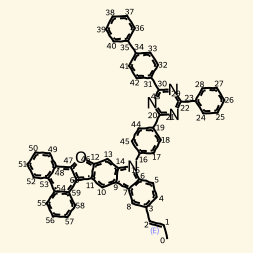 C/C=C/c1ccc2c(c1)c1cc3c(cc1n2-c1ccc(-c2nc(-c4ccccc4)nc(-c4ccc(-c5ccccc5)cc4)n2)cc1)oc1c2ccccc2c2ccccc2c31